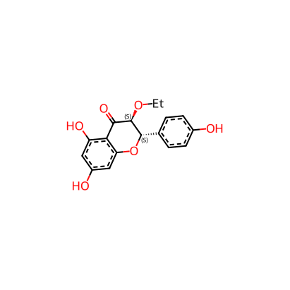 CCO[C@@H]1C(=O)c2c(O)cc(O)cc2O[C@H]1c1ccc(O)cc1